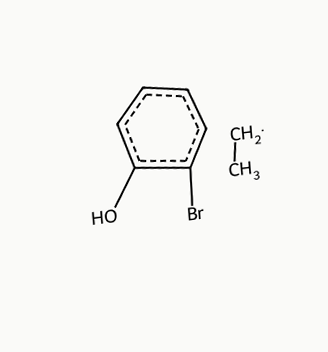 Oc1ccccc1Br.[CH2]C